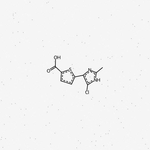 Cc1nc(-c2ccc(C(=O)O)s2)c(Cl)[nH]1